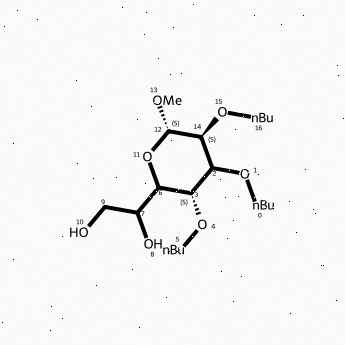 CCCCOC1[C@H](OCCCC)C(C(O)CO)O[C@H](OC)[C@H]1OCCCC